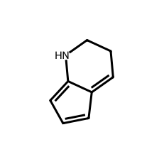 C1=CC2=CCCNC2=C1